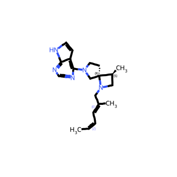 C/C=C\C=C(/C)CN1C[C@H](C)[C@@]12CCN(c1ncnc3[nH]ccc13)C2